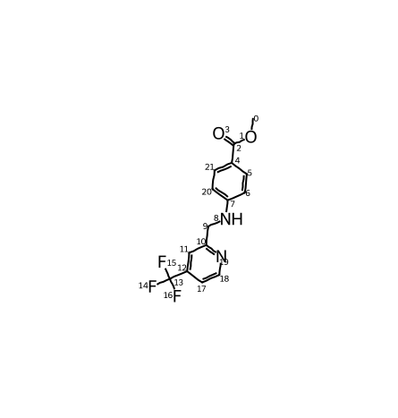 COC(=O)c1ccc(NCc2cc(C(F)(F)F)ccn2)cc1